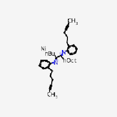 CC#CCCCc1ccccc1/N=C(CCCC)/C(CCCCCCCC)=N/c1ccccc1CCCC#CC.[Ni]